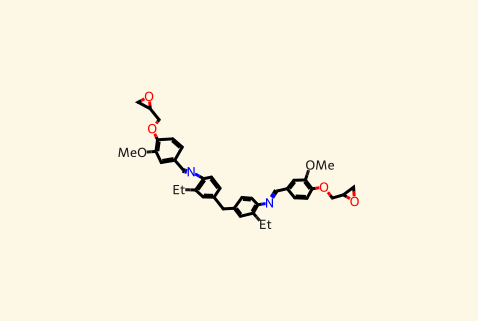 CCc1cc(Cc2ccc(/N=C/c3ccc(OCC4CO4)c(OC)c3)c(CC)c2)ccc1/N=C/c1ccc(OCC2CO2)c(OC)c1